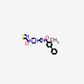 Cc1cc(-c2ccccc2)ccc1C(=O)N1CC(N2CCN(C(=O)c3cscn3)CC2)C1